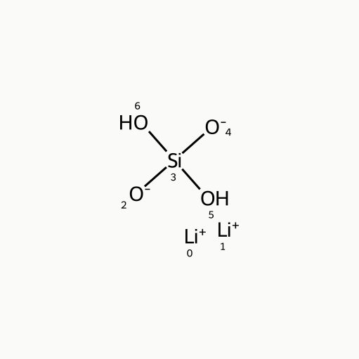 [Li+].[Li+].[O-][Si]([O-])(O)O